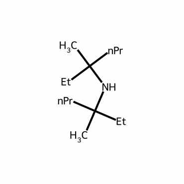 CCCC(C)(CC)NC(C)(CC)CCC